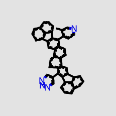 Cc1cnccc1-c1c2c(cc3c1ccc1c4cc5c(c(-c6cnnnc6)c4ccc31)-c1cccc3cccc-5c13)-c1cccc3cccc-2c13